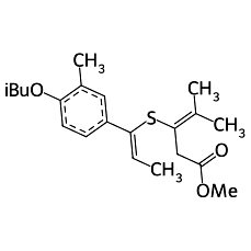 CC=C(SC(CC(=O)OC)=C(C)C)c1ccc(OCC(C)C)c(C)c1